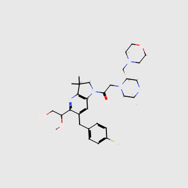 COC(CO)c1nc2c(cc1Cc1ccc(F)cc1)N(C(=O)CN1C[C@@H](C)NC[C@@H]1CN1CCOC[C@H]1C)CC2(C)C